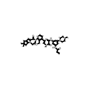 C=CC(=O)Nc1cc(Nc2nc(-c3ccnc(N4CCn5c(cc6c5CC(C)(C)C6)C4=O)c3CO)cn(C)c2=O)cc(N2CCN(C)CC2)c1